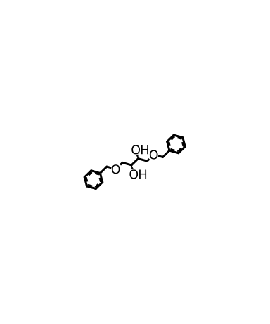 O[C@@H](COCc1ccccc1)[C@@H](O)COCc1ccccc1